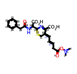 CN(C)OC(=O)C/C=C/C=C1\CSC(C(NC(=O)Cc2ccccc2)C(=O)O)N=C1C(=O)O